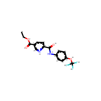 CCOC(=O)c1ccc(C(=O)Nc2ccc(OC(F)(F)F)cc2)nc1